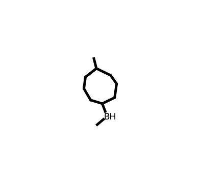 CBC1CCCC(C)CCC1